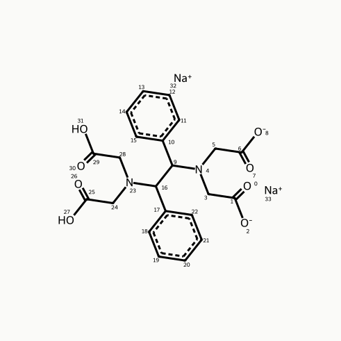 O=C([O-])CN(CC(=O)[O-])C(c1ccccc1)C(c1ccccc1)N(CC(=O)O)CC(=O)O.[Na+].[Na+]